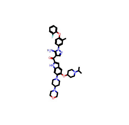 Cc1cc(-n2ncc(C(=O)c3cc4cc(OC5CCN(C(C)C)CC5)c(N5CCC(N6CCOCC6)CC5)cc4[nH]3)c2N)ccc1Oc1ccccc1F